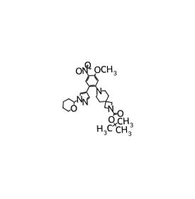 COc1cc(N2CCC3(CC2)CN(C(=O)OC(C)(C)C)C3)c(-c2cnn(C3CCCCO3)c2)cc1[N+](=O)[O-]